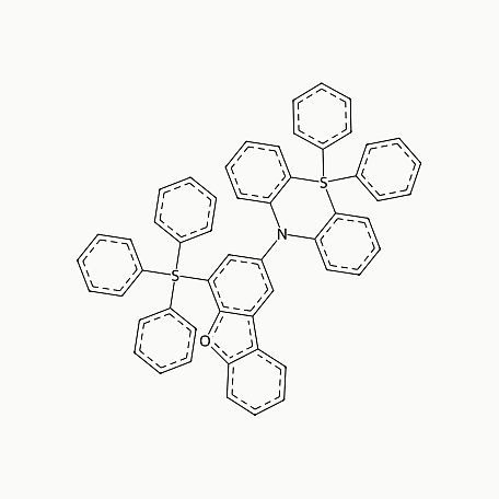 c1ccc(S2(c3ccccc3)c3ccccc3N(c3cc(S(c4ccccc4)(c4ccccc4)c4ccccc4)c4oc5ccccc5c4c3)c3ccccc32)cc1